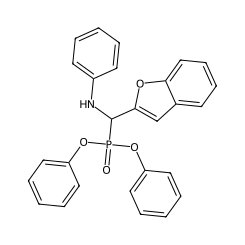 O=P(Oc1ccccc1)(Oc1ccccc1)C(Nc1ccccc1)c1cc2ccccc2o1